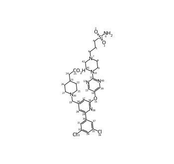 NS(=O)(=O)CCCN1CCN(c2ncc(Oc3cc(CN4CCC(CC(=O)O)CC4)cc(-c4cc(Cl)cc(Cl)c4)n3)cn2)CC1